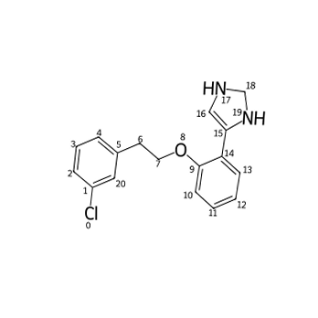 Clc1cccc(CCOc2ccccc2C2=CNCN2)c1